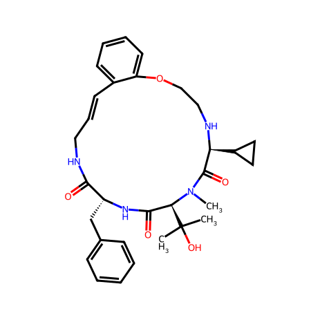 CN1C(=O)[C@H](C2CC2)NCCOc2ccccc2/C=C/CNC(=O)[C@@H](Cc2ccccc2)NC(=O)[C@@H]1C(C)(C)O